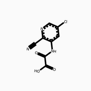 N#Cc1ncc(Cl)cc1NC(=O)C(=O)O